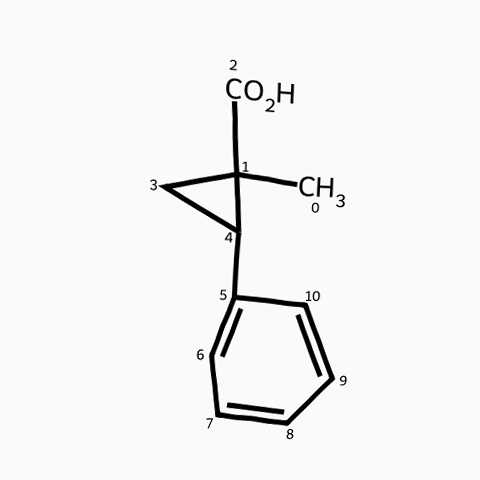 CC1(C(=O)O)CC1c1ccccc1